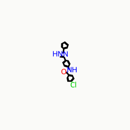 O=C(Nc1ccc(-c2c[nH]c(-c3ccccc3)n2)cc1)c1ccc(Cl)cc1